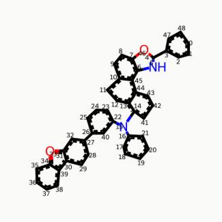 c1ccc(C2Nc3c(ccc4ccc5c(N(c6ccccc6)c6cccc(-c7ccc8c(c7)oc7ccccc78)c6)cccc5c34)O2)cc1